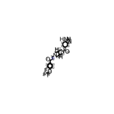 O=C(/C=C/N1C[C@H]2CN(C(=O)[C@@H]3CCc4[nH]nnc4C3)C[C@@H]2C1)c1ccc(OC(F)(F)F)cc1